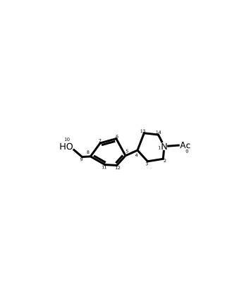 CC(=O)N1CCC(c2ccc(CO)cc2)CC1